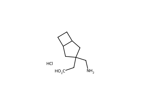 Cl.NCC1(CC(=O)O)CC2CCC2C1